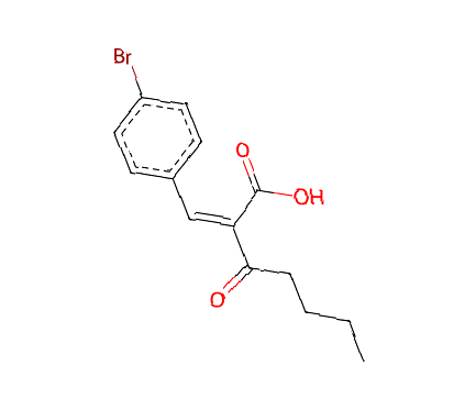 CCCCC(=O)/C(=C/c1ccc(Br)cc1)C(=O)O